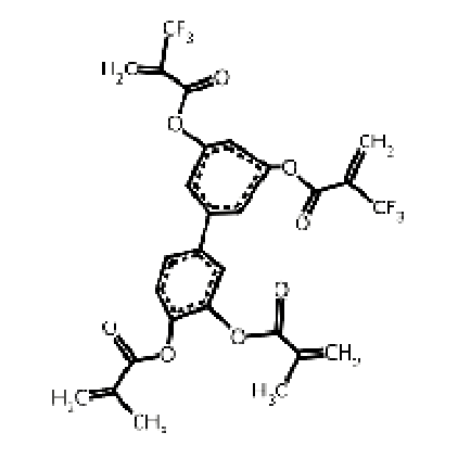 C=C(C)C(=O)Oc1ccc(-c2cc(OC(=O)C(=C)C(F)(F)F)cc(OC(=O)C(=C)C(F)(F)F)c2)cc1OC(=O)C(=C)C